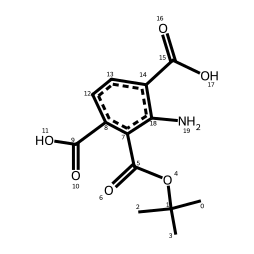 CC(C)(C)OC(=O)c1c(C(=O)O)ccc(C(=O)O)c1N